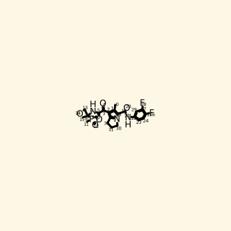 Cc1c(C(=O)C(=O)NC2(P(C)(C)=O)COC2)c2n(c1C(=O)Nc1ccc(F)c(F)c1)CCC2